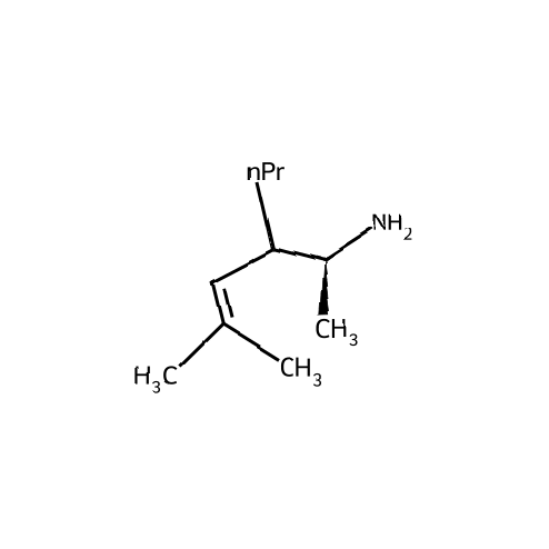 CCCC(C=C(C)C)[C@H](C)N